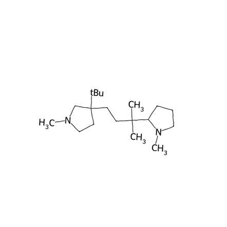 CN1CCC(CCC(C)(C)C2CCCN2C)(C(C)(C)C)C1